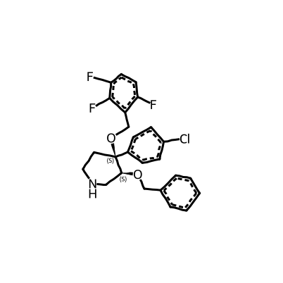 Fc1ccc(F)c(CO[C@]2(c3ccc(Cl)cc3)CCNC[C@@H]2OCc2ccccc2)c1F